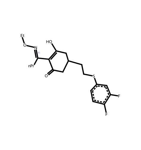 CCC/C(=N\OCC)C1=C(O)CC(CCSc2ccc(F)c(F)c2)CC1=O